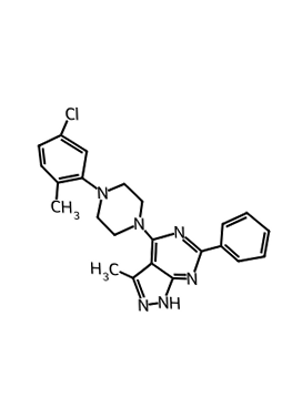 Cc1ccc(Cl)cc1N1CCN(c2nc(-c3ccccc3)nc3[nH]nc(C)c23)CC1